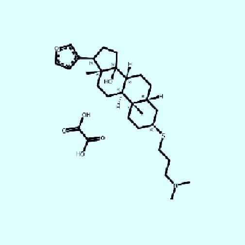 CN(C)CCCS[C@H]1CC[C@@]2(C)[C@H](CC[C@@H]3[C@@H]2CC[C@]2(C)[C@@H](c4ccoc4)CC[C@]32O)C1.O=C(O)C(=O)O